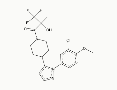 COc1ccc(-n2nccc2C2CCN(C(=O)C(C)(O)C(F)(F)F)CC2)cc1Cl